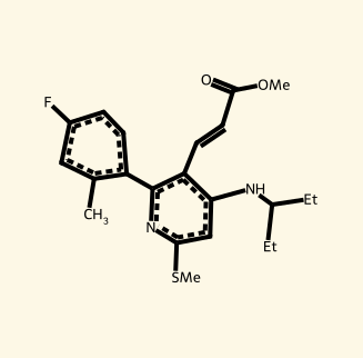 CCC(CC)Nc1cc(SC)nc(-c2ccc(F)cc2C)c1C=CC(=O)OC